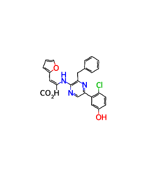 O=C(O)/C(=C/c1ccco1)Nc1ncc(-c2cc(O)ccc2Cl)nc1Cc1ccccc1